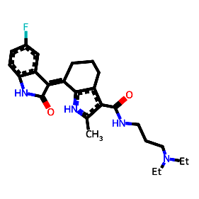 CCN(CC)CCCNC(=O)c1c(C)[nH]c2c1CCC/C2=C1/C(=O)Nc2ccc(F)cc21